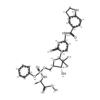 CC(C)OC(=O)[C@@H](C)NP(=O)(OC[C@H]1OC(n2ccc(NC(=O)c3ccc4c(c3)CCN4)nc2=O)C(F)(F)[C@@H]1O)Oc1ccccc1